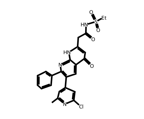 CCS(=O)(=O)NC(=O)Cc1cc(=O)c2cc(-c3cc(C)nc(Cl)c3)c(-c3ccccc3)nc2[nH]1